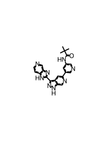 CC(C)(C)C(=O)Nc1cncc(-c2cc3c(-c4nc5cnccc5[nH]4)n[nH]c3cn2)c1